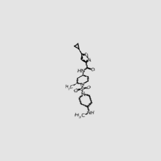 CNC1CCN(S(=O)(=O)N2CC[C@H](NC(=O)c3cc(C4CC4)on3)C[C@@H]2C)CC1